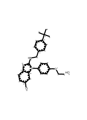 CCOc1ccc(-n2c(NCc3ccc(C(C)(C)C)cc3)nc3ccc(Cl)cc32)cc1.Cl